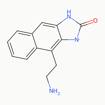 NCCc1c2c(cc3ccccc13)NC(=O)[N]2